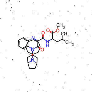 COC(=O)C(CC(C)C)NC(=O)c1nc2ccccc2n(C2CC3CCC(C2)N3C2CCCCCCC2)c1=O